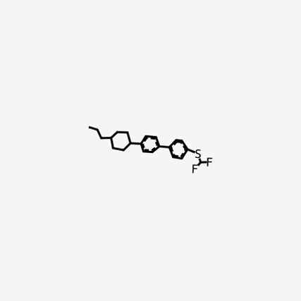 CCCC1CCC(c2ccc(-c3ccc(SC(F)F)cc3)cc2)CC1